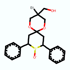 CCC1(CO)COC2(CC(c3ccccc3)[S+]([O-])C(c3ccccc3)C2)OC1